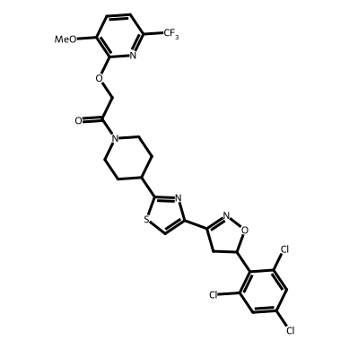 COc1ccc(C(F)(F)F)nc1OCC(=O)N1CCC(c2nc(C3=NOC(c4c(Cl)cc(Cl)cc4Cl)C3)cs2)CC1